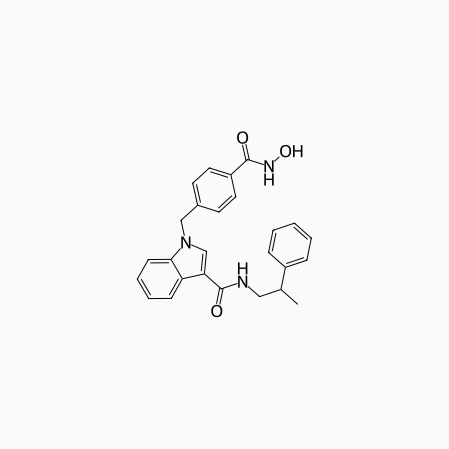 CC(CNC(=O)c1cn(Cc2ccc(C(=O)NO)cc2)c2ccccc12)c1ccccc1